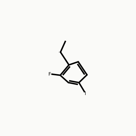 C[CH]c1ccc(I)cc1F